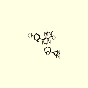 Cc1nc2c(-c3ccc(Cl)cc3F)nc([C@H]3CCO[C@H](c4cnn(C)c4)C3)nc2c(=O)n1C